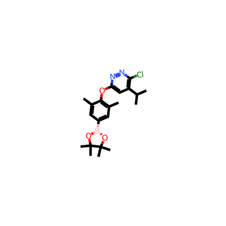 Cc1cc(B2OC(C)(C)C(C)(C)O2)cc(C)c1Oc1cc(C(C)C)c(Cl)nn1